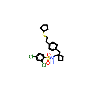 O=S(=O)(NCC1(Cc2ccc(CCSC3CCCC3)cc2)CCC1)c1ccc(Cl)cc1Cl